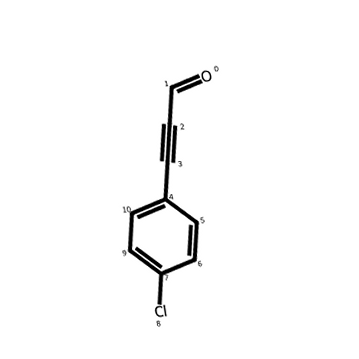 O=CC#Cc1ccc(Cl)cc1